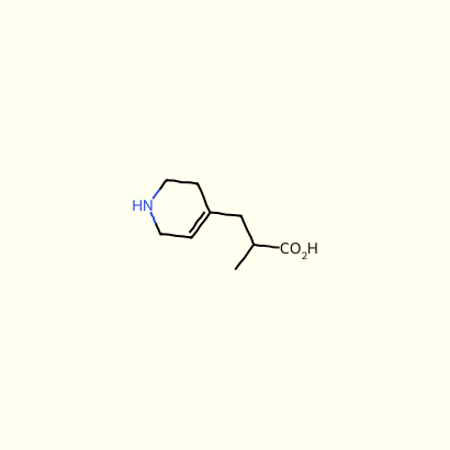 CC(CC1=CCNCC1)C(=O)O